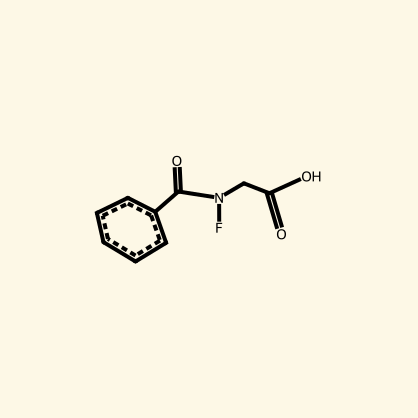 O=C(O)CN(F)C(=O)c1ccccc1